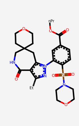 CCCOC(=O)c1ccc(S(=O)(=O)N2CCOCC2)c(-n2nc(CC)c3c2CC2(CCOCC2)CNC3=O)c1